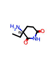 CC[C@]1(N)CCC(=O)NC1=O